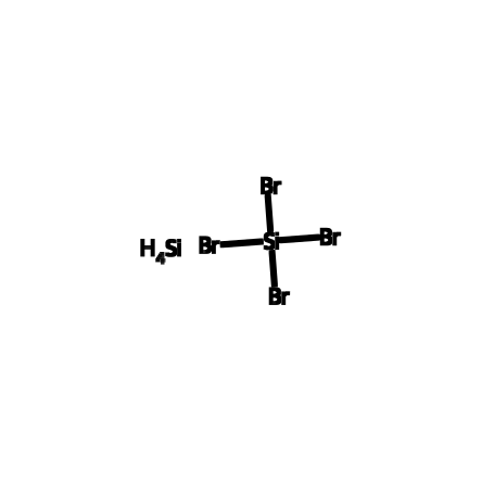 Br[Si](Br)(Br)Br.[SiH4]